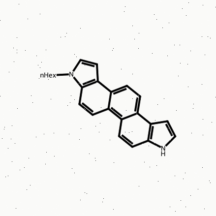 CCCCCCn1ccc2c3ccc4c5cc[nH]c5ccc4c3ccc21